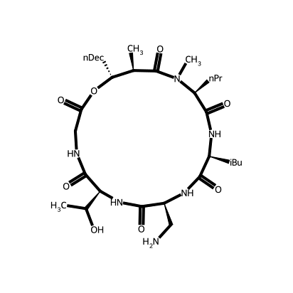 CCCCCCCCCC[C@H]1OC(=O)CNC(=O)[C@H](C(C)O)NC(=O)[C@H](CN)NC(=O)[C@H](C(C)CC)NC(=O)[C@H](CCC)N(C)C(=O)[C@@H]1C